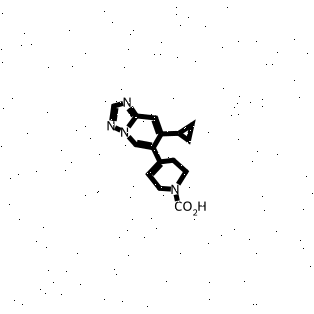 O=C(O)N1CC=C(c2cn3ncnc3cc2C2CC2)CC1